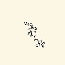 C=C(C)C(=O)NCCC[N+](C)(C)CC(=O)OC